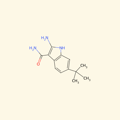 CC(C)(C)c1ccc2c(C(N)=O)c(N)[nH]c2c1